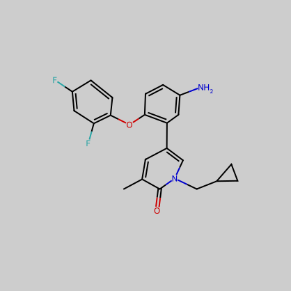 Cc1cc(-c2cc(N)ccc2Oc2ccc(F)cc2F)cn(CC2CC2)c1=O